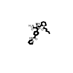 CCC=CC(=O)N1CCCCC1c1nc(-c2ccc(C(=O)Nc3ccccn3)cc2)c(C(N)=O)n1N